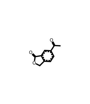 CC(=O)c1ccc2c(c1)C(=O)OC2